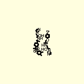 CSc1ccc(OCC(C)(C)NCC(O)Cn2ccnc2)cc1.Cc1ccc(S(=O)(=O)C(C)c2ccc(C(C)(C)NCC(O)Cn3ccnc3)cc2)cc1C